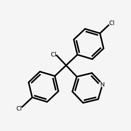 Clc1ccc(C(Cl)(c2ccc(Cl)cc2)c2cccnc2)cc1